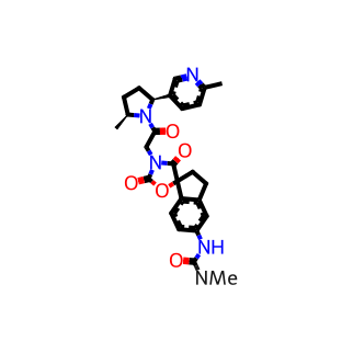 CNC(=O)Nc1ccc2c(c1)CCC21OC(=O)N(CC(=O)N2[C@@H](C)CC[C@H]2c2ccc(C)nc2)C1=O